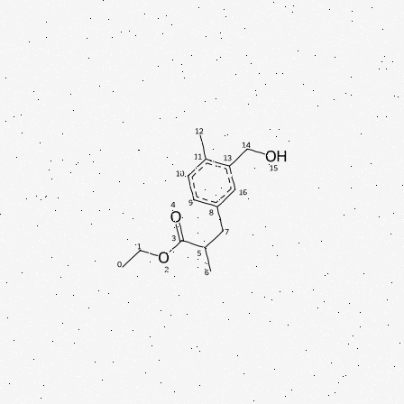 CCOC(=O)C(C)Cc1ccc(C)c(CO)c1